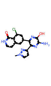 Cn1ccc(-c2nc(N)c(O)nc2-c2cc(Cl)c3c(=O)[nH]ccc3c2)n1